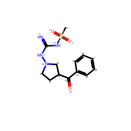 CS(=O)(=O)NC(=N)NN1CCC(C(=O)c2ccccc2)C1